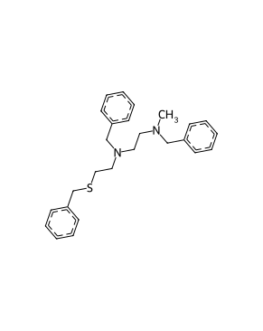 CN(CCN(CCSCc1ccccc1)Cc1ccccc1)Cc1ccccc1